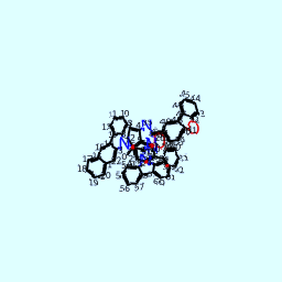 CC1C/C=C(c2c(-n3c4ccccc4c4cc5ccccc5cc43)ccc3c2oc2ccccc23)/N=C(c2ccc3oc4ccccc4c3c2)\N=C/1n1c2ccccc2c2ccccc21